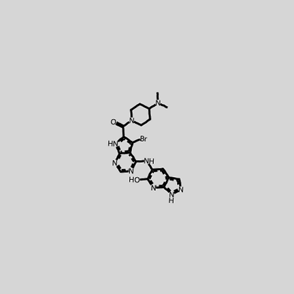 CN(C)C1CCN(C(=O)c2[nH]c3ncnc(Nc4cc5cn[nH]c5nc4O)c3c2Br)CC1